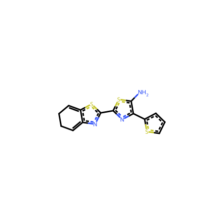 Nc1sc(-c2nc3c(s2)=CCCC=3)nc1-c1cccs1